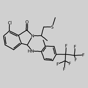 CSCC(C)N1C(=O)c2c(Cl)cccc2C1Nc1ccc(C(F)(C(F)(F)F)C(F)(F)F)cc1C